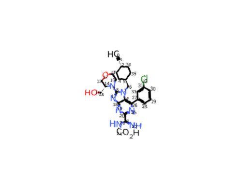 C#C[C@H]1CC[C@H](Cn2c(N3CCOC[C@H]3CO)nc3nc(C(=N)NC(=O)O)nc(-c4cccc(Cl)c4)c32)CC1